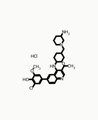 COc1cc(-c2ccc3ncc(C(C)=O)c(NC4CCC(CN5CCCC(N)C5)CC4)c3c2)cc(Cl)c1O.Cl